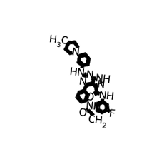 C=CC(=O)Nc1cccc(-c2nc(Nc3cccc(N4CCC(C)CC4)c3)nc3[nH]nc(C(=O)Nc4cccc(F)c4)c23)c1